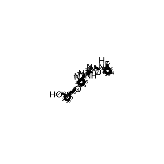 O=C(Cn1cc(Nc2ncnc3cc(OCCCN4CCCC4CO)ccc23)cn1)Nc1ccccc1F